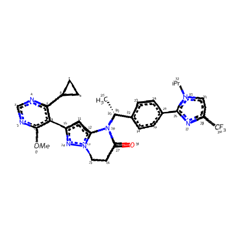 COc1ncnc(C2CC2)c1-c1cc2n(n1)CCC(=O)N2[C@H](C)c1ccc(-c2nc(C(F)(F)F)cn2C(C)C)cc1